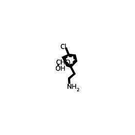 NCCc1ccc(Cl)cc1.O=CO